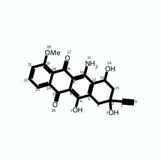 C#CC1(O)Cc2c(O)c3c(c(N)c2C(O)C1)C(=O)c1c(OC)cccc1C3=O